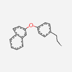 CCCc1ccc(Oc2ccc3ccccc3c2)cc1